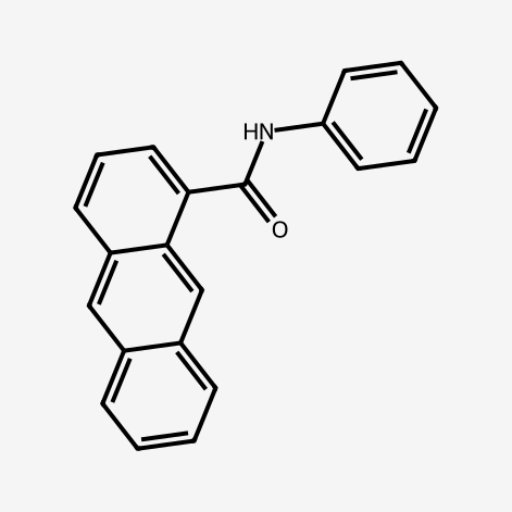 O=C(Nc1ccccc1)c1cccc2cc3ccccc3cc12